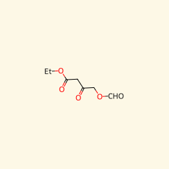 CCOC(=O)CC(=O)COC=O